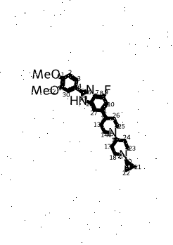 COc1ccc(-c2nc3c(F)cc(C4CCN(C5CCN(C6CC6)CC5)CC4)cc3[nH]2)cc1OC